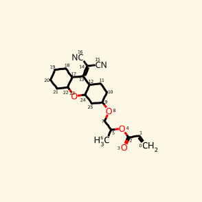 C=CC(=O)OC(C)COC1CCC2C(=C(C#N)C#N)C3CCCCC3OC2C1